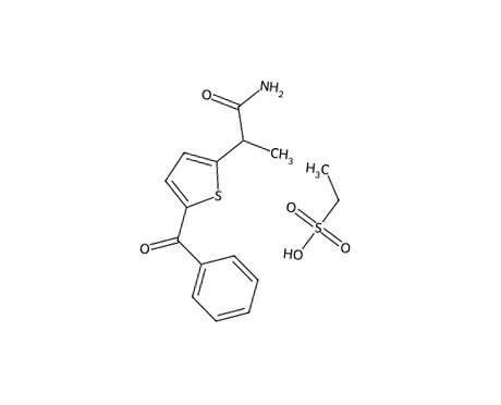 CC(C(N)=O)c1ccc(C(=O)c2ccccc2)s1.CCS(=O)(=O)O